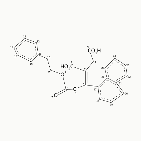 O=C(O)CC(C(=O)O)=C(CC(=O)OCCc1ccccc1)c1cccc2ccccc12